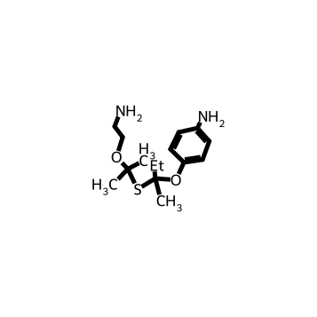 CCC(C)(Oc1ccc(N)cc1)SC(C)(C)OCCN